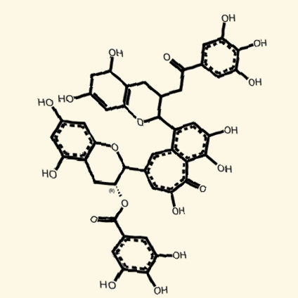 O=C(CC1CC2=C(C=C(O)CC2O)OC1c1cc(O)c(O)c2c(=O)c(O)cc(C3Oc4cc(O)cc(O)c4C[C@H]3OC(=O)c3cc(O)c(O)c(O)c3)cc12)c1cc(O)c(O)c(O)c1